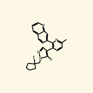 Cc1ccc(-c2cnn(CC3(F)CCCC3)c2F)c(-c2ccc3cccnc3c2)n1